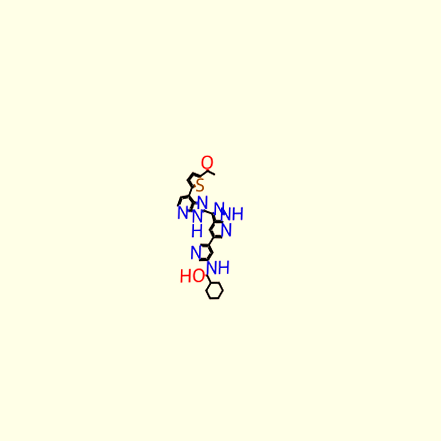 CC(=O)c1ccc(-c2ccnc3[nH]c(-c4n[nH]c5ncc(-c6cncc(NC(O)C7CCCCC7)c6)cc45)nc23)s1